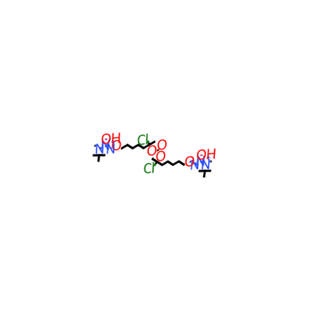 CN(/[N+](O)=N/OCCCCCC(C)(Cl)OC(=O)OC(C)(Cl)CCCCCO/N=[N+](\O)N(C)C(C)(C)C)C(C)(C)C